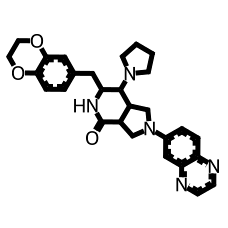 O=C1NC(Cc2ccc3c(c2)OCCO3)C(N2CCCC2)C2CN(c3ccc4nccnc4c3)CC12